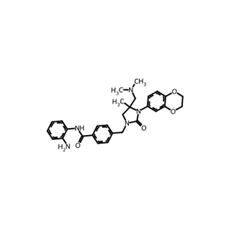 CN(C)CC1(C)CN(Cc2ccc(C(=O)Nc3ccccc3N)cc2)C(=O)N1c1ccc2c(c1)OCCO2